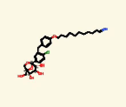 N=CCCCCCCCCCCOc1ccc(Cc2cc([C@]34OC[C@](CO)(O3)[C@@H](O)[C@H](O)[C@H]4O)ccc2Cl)cc1